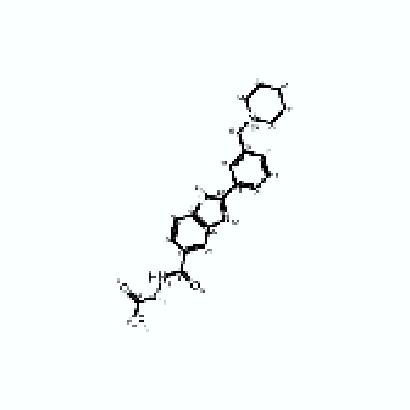 O=C(NOC(=O)C(F)(F)F)c1ccc2oc(-c3cccc(CN4CCCCC4)c3)nc2c1